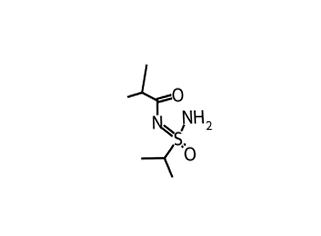 CC(C)C(=O)N=S(N)(=O)C(C)C